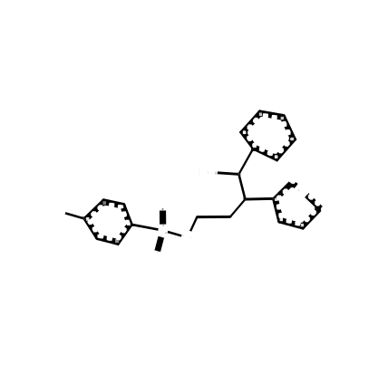 Cc1ccc(S(=O)(=O)OCCC(c2ccccc2)C(O)c2ccccc2)cc1